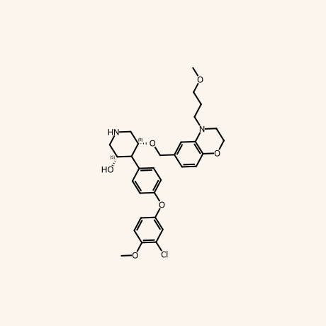 COCCCN1CCOc2ccc(CO[C@H]3CNC[C@@H](O)C3c3ccc(Oc4ccc(OC)c(Cl)c4)cc3)cc21